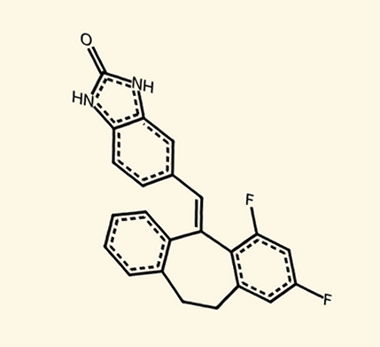 O=c1[nH]c2ccc(C=C3c4ccccc4CCc4cc(F)cc(F)c43)cc2[nH]1